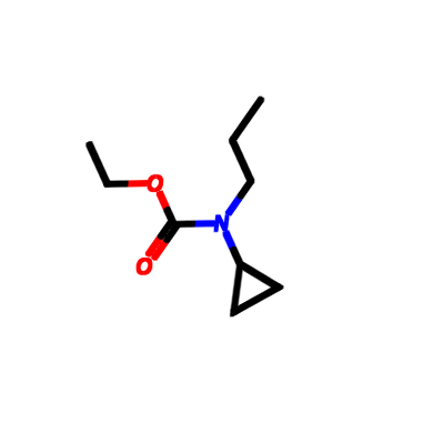 CCCN(C(=O)OCC)C1CC1